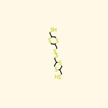 SCC1CSC(CSSCC2CSC(CS)CS2)CS1